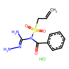 C=CCS(=O)(=O)N(C(=O)c1ccccc1)C(N)=NN.Cl